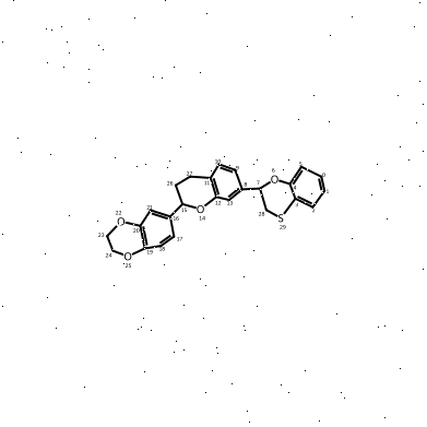 c1ccc2c(c1)OC(c1ccc3c(c1)OC(c1ccc4c(c1)OCCO4)CC3)CS2